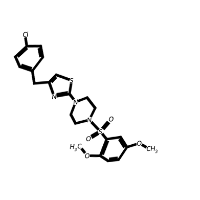 COc1ccc(OC)c(S(=O)(=O)N2CCN(c3nc(Cc4ccc(Cl)cc4)cs3)CC2)c1